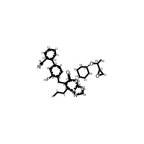 CCCc1c(Cc2ccc(-c3ccccc3C#N)cc2F)c(=O)n([C@H]2CC[C@H](OC(C)C3CO3)CC2)c2ncnn12